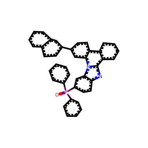 O=P(c1ccccc1)(c1ccccc1)c1ccc2nc3c4ccccc4c4ccc(-c5ccc6ccccc6c5)cc4n3c2c1